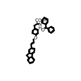 O=C(c1ccccc1)c1ccccc1N[C@@H](Cc1ccc(OCC=Cc2ccc3c(c2)Cc2ccccc2-3)cc1)C(=O)O